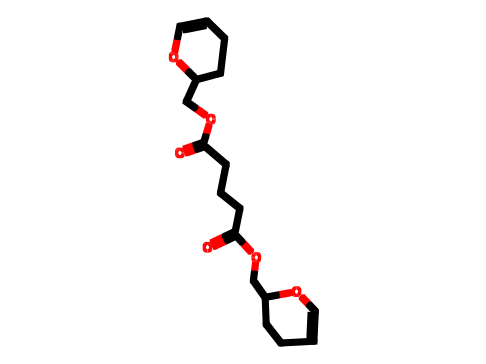 O=C(CCCC(=O)OCC1CCC=CO1)OCC1CCC=CO1